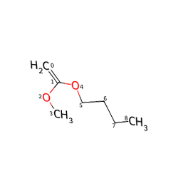 C=C(OC)OCCCC